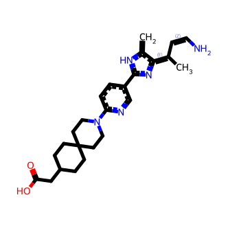 C=c1[nH]c(-c2ccc(N3CCC4(CCC(CC(=O)O)CC4)CC3)nc2)n/c1=C(C)/C=C\N